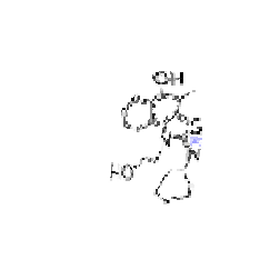 Cc1c(O)c2ccccc2c2c1s/c(=N/C1CCCCC1)n2CCO